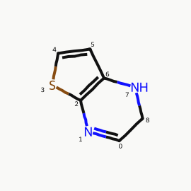 C1=Nc2sccc2NC1